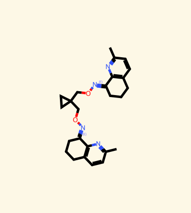 Cc1ccc2c(n1)/C(=N/OCC1(CO/N=C3\CCCc4ccc(C)nc43)CC1)CCC2